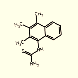 Cc1c(C)c(NC(N)=S)c2ccccc2c1C